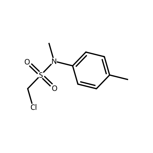 Cc1ccc(N(C)S(=O)(=O)CCl)cc1